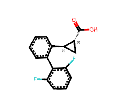 O=C(O)[C@@H]1C[C@H]1c1ccccc1-c1c(F)cccc1F